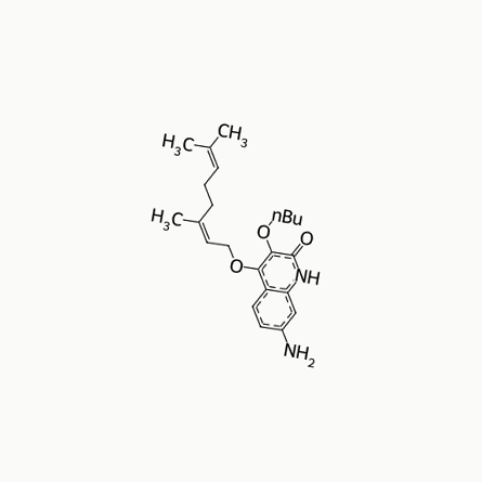 CCCCOc1c(OCC=C(C)CCC=C(C)C)c2ccc(N)cc2[nH]c1=O